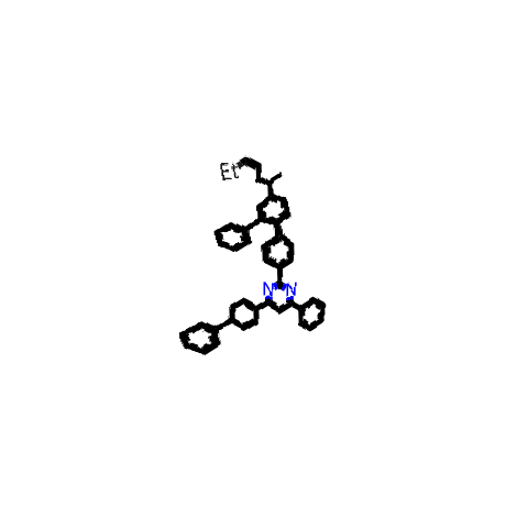 CC/C=C\CC(C)c1ccc(-c2ccc(-c3nc(C4=CCC(c5ccccc5)C=C4)cc(-c4ccccc4)n3)cc2)c(-c2ccccc2)c1